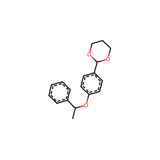 CC(Oc1ccc(C2OCCCO2)cc1)c1ccccc1